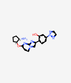 N[C@H]1CCC[C@@H]1Oc1ccn2cc(-c3ccc(-n4nccn4)cc3O)nc2n1